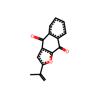 C=C(C)c1cc2c(o1)C(=O)c1ccccc1C2=O